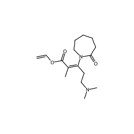 C=COC(=O)C(C)=C(CCN(C)C)N1CCCCCC1=O